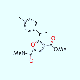 CNC(=O)c1cc(C(=O)OC)c(C(C)c2ccc(C)cc2)o1